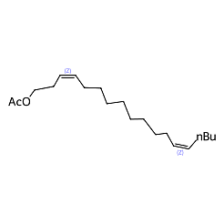 CCCC/C=C\CCCCCCCC/C=C\CCOC(C)=O